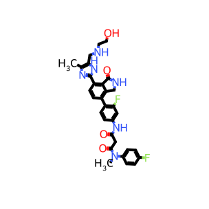 Cc1nc(-c2ccc(-c3ccc(NC(=O)CC(=O)N(C)c4ccc(F)cc4)cc3F)c3c2C(=O)NC3)[nH]c1CNCCO